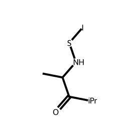 CC(C)C(=O)C(C)NSI